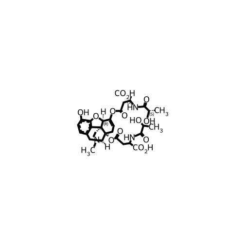 CC(O)C(=O)NC(CC(=O)O[C@@]12CC=C(OC(=O)C[C@H](NC(=O)[C@H](C)O)C(=O)O)[C@@H]3Oc4c(O)ccc5c4[C@@]31CCN(C)[C@@H]2C5)C(=O)O